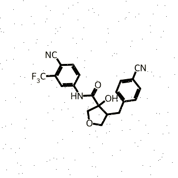 N#Cc1ccc(CC2COCC2(O)C(=O)Nc2ccc(C#N)c(C(F)(F)F)c2)cc1